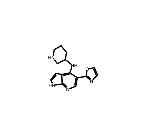 c1coc(-c2cnc3[nH]ccc3c2NC2CCCNC2)n1